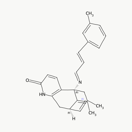 C/C=C1\[C@H]2C=C(C)C[C@]1(N=CC=Cc1cccc(C)c1)c1ccc(=O)[nH]c1C2